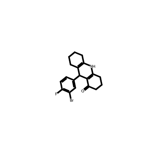 O=C1CCCC2=C1C(c1ccc(F)c(Br)c1)C1=C(CCCC1)N2